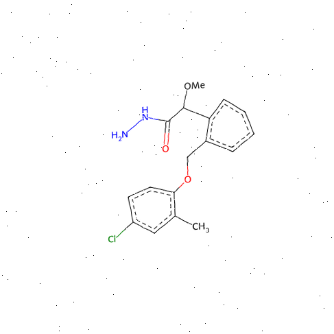 COC(C(=O)NN)c1ccccc1COc1ccc(Cl)cc1C